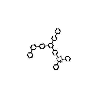 c1ccc(-c2ccc(-c3cc(-c4ccc(-c5cccc(-c6ccccc6)c5)cc4)cc(-c4ccc(-c5nc(-c6ccccc6)nc(-c6ccccc6)n5)cc4)c3)cc2)cc1